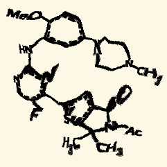 COc1ccc(N2CCN(C)CC2)cc1Nc1ncc(F)c(-c2cc3c(s2)C(C)(C)N(C(C)=O)C3=O)n1